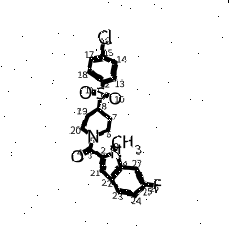 Cn1c(C(=O)N2CCC(S(=O)(=O)c3ccc(Cl)cc3)CC2)cc2ccc(F)cc21